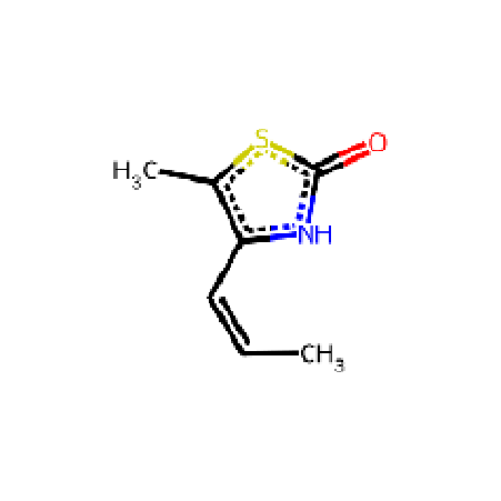 C/C=C\c1[nH]c(=O)sc1C